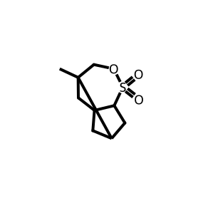 CC12COS(=O)(=O)C3CC1CC3C2